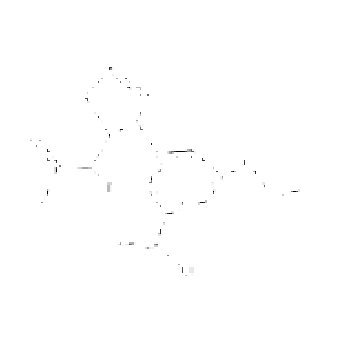 CCOc1cc2c(c([N+](=O)O)c1)NC(C(=O)O)C1CC=CC21